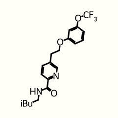 CCC(C)CNC(=O)c1ccc(CCOc2cccc(OC(F)(F)F)c2)cn1